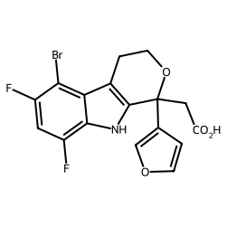 O=C(O)CC1(c2ccoc2)OCCc2c1[nH]c1c(F)cc(F)c(Br)c21